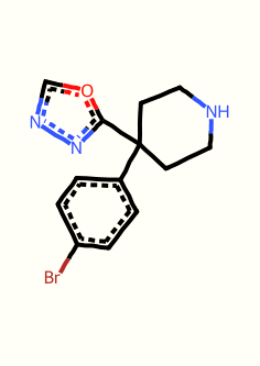 Brc1ccc(C2(c3nnco3)CCNCC2)cc1